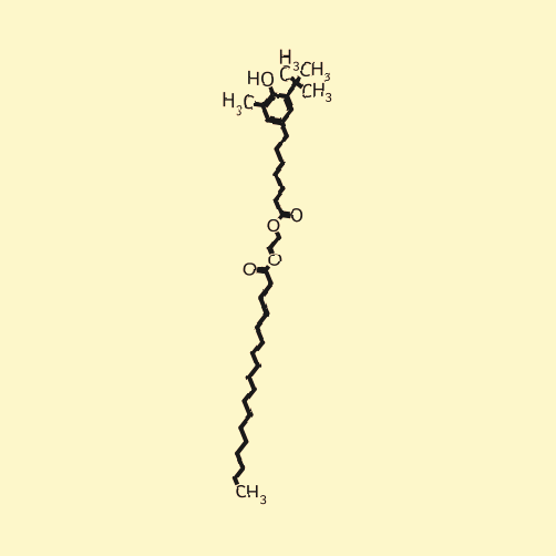 CCCCCCCCCCCCCCCCCC(=O)OCCOC(=O)CCCCCCc1cc(C)c(O)c(C(C)(C)C)c1